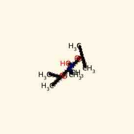 CCCCCCCCC(CCCCCCCC)COC(=O)CCCCCN(CCO)CCN(CCCCCC(=O)OCC(CCCCCCCC)CCCCCCCC)CCC(C)C